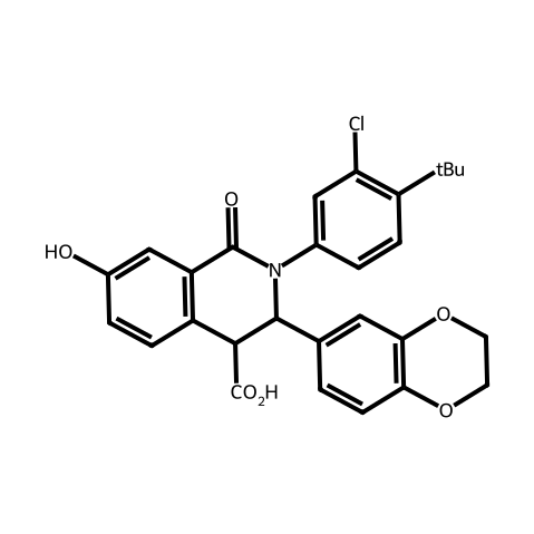 CC(C)(C)c1ccc(N2C(=O)c3cc(O)ccc3C(C(=O)O)C2c2ccc3c(c2)OCCO3)cc1Cl